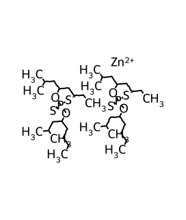 CCCCC(CC(C)C)OP(=S)([S-])OC(CCCC)CC(C)C.CCCCC(CC(C)C)OP(=S)([S-])OC(CCCC)CC(C)C.[Zn+2]